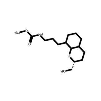 CC(C)(C)OC(=O)NCCCC1CCCC2CC[C@H](CO)OC12